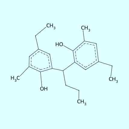 CCCC(c1cc(CC)cc(C)c1O)c1cc(CC)cc(C)c1O